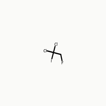 FCC(Cl)(Cl)I